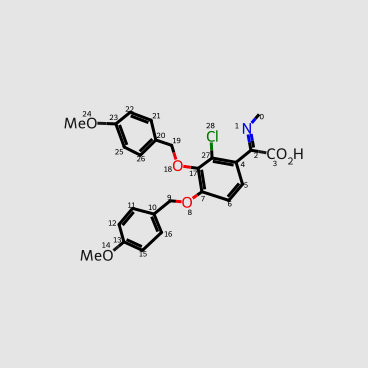 CN=C(C(=O)O)c1ccc(OCc2ccc(OC)cc2)c(OCc2ccc(OC)cc2)c1Cl